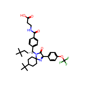 CC(C)(C)CC[C@H](c1ccc(C(=O)NCCC(=O)O)cc1)N1C(=O)C(c2ccc(OC(F)(F)F)cc2)=NC12CCC(C(C)(C)C)CC2